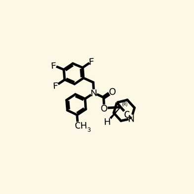 Cc1cccc(N(Cc2cc(F)c(F)cc2F)C(=O)O[C@H]2CN3CCC2CC3)c1